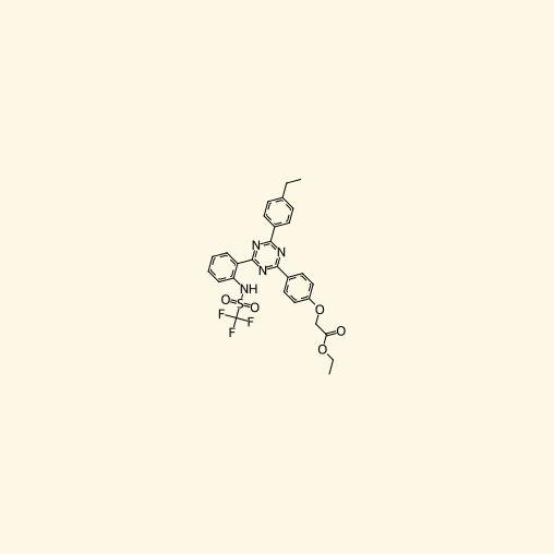 CCOC(=O)COc1ccc(-c2nc(-c3ccc(CC)cc3)nc(-c3ccccc3NS(=O)(=O)C(F)(F)F)n2)cc1